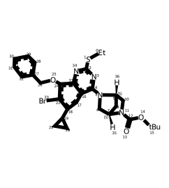 CCSc1nc(N2C[C@@H]3C[C@H]2CN3C(=O)OC(C)(C)C)c2cc(C3CC3)c(Br)c(OCc3ccccc3)c2n1